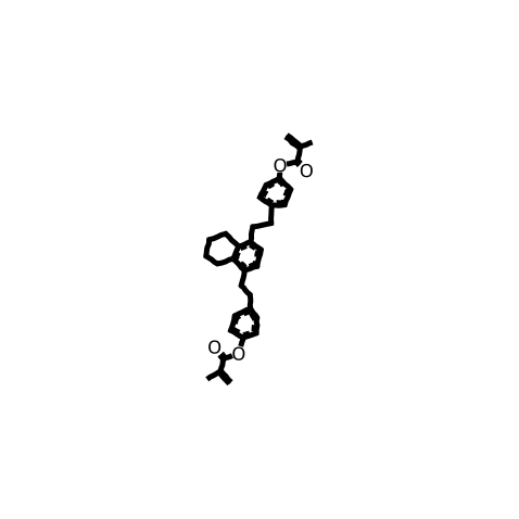 C=C(C)C(=O)Oc1ccc(CCc2ccc(CCc3ccc(OC(=O)C(=C)C)cc3)c3c2CCCC3)cc1